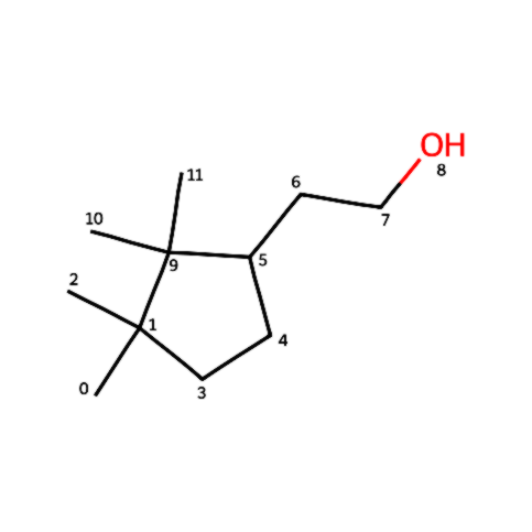 CC1(C)CCC(CCO)C1(C)C